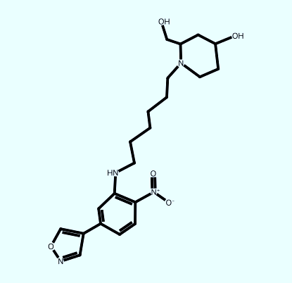 O=[N+]([O-])c1ccc(-c2cnoc2)cc1NCCCCCCN1CCC(O)CC1CO